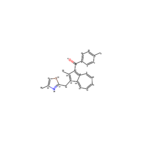 Cc1ccc(C(=O)c2c3cccccc-3c(Cc3nc(C)cs3)c2C)cc1